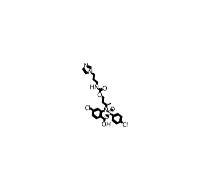 C[C@H](CCOC(=O)NCCCn1ccnc1)N(c1cc(Cl)ccc1CO)S(=O)(=O)c1ccc(Cl)cc1